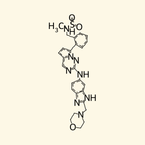 CN(Cc1ccccc1-c1ccc2cnc(Nc3ccc4nc(CN5CCOCC5)[nH]c4c3)nn12)[SH](=O)=O